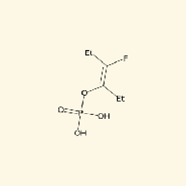 CCC(F)=C(CC)OP(=O)(O)O